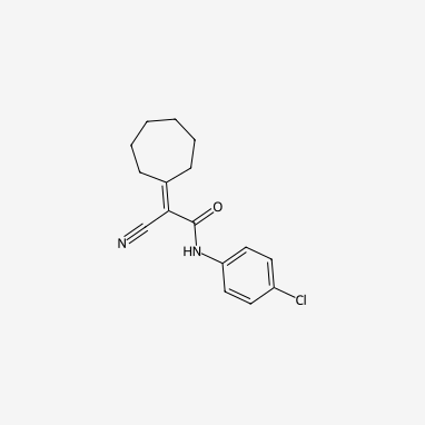 N#CC(C(=O)Nc1ccc(Cl)cc1)=C1CCCCCC1